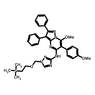 COc1ccc(-c2c(Nc3ncn(COCC[Si](C)(C)C)n3)nc3c(-c4ccccc4)c(-c4ccccc4)nn3c2OC)cc1